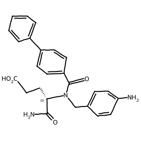 NC(=O)[C@H](CCC(=O)O)N(Cc1ccc(N)cc1)C(=O)c1ccc(-c2ccccc2)cc1